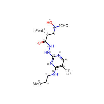 CCCCC[C@H](CN(O)C=O)C(=O)NNc1ncc(C(F)(F)F)c(NCCOC)n1